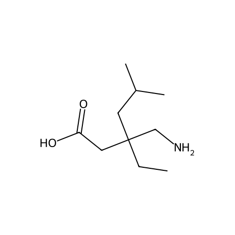 CCC(CN)(CC(=O)O)CC(C)C